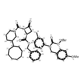 COc1ccc(CN(C(=O)OC(C)(C)C)c2cc(C[C@H]3C(=O)N(C(=O)N4CCCC(C5CCCCCCC5)C4)[C@@H]3C(=O)OCc3ccccc3)ccn2)cc1